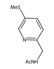 CSc1ccc(CNC(C)=O)nc1